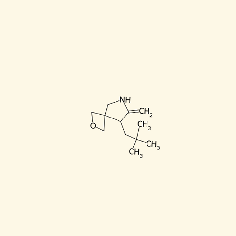 C=C1NCC2(COC2)C1CC(C)(C)C